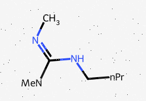 CCCCN/C(=N\C)NC